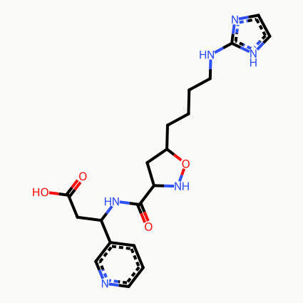 O=C(O)CC(NC(=O)C1CC(CCCCNc2ncc[nH]2)ON1)c1cccnc1